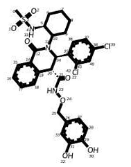 CS(=O)(=O)N[C@H]1CCCCC1N1C(=O)c2ccccc2[C@@H](C(=O)NOCc2ccc(O)c(O)c2)[C@@H]1c1ccc(Cl)cc1Cl